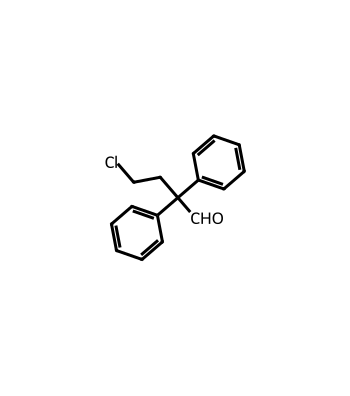 O=CC(CCCl)(c1ccccc1)c1ccccc1